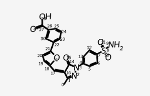 CC1=NN(c2ccc(S(N)(=O)=O)cc2)C(=O)C1=Cc1ccc(-c2cccc(C(=O)O)c2)o1